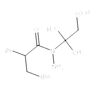 CC(C)C(CC(C)(C)C)C(=O)N(N)C(C)(C)CS(=O)(=O)O